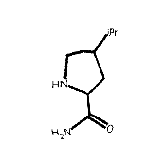 CC(C)C1CNC(C(N)=O)C1